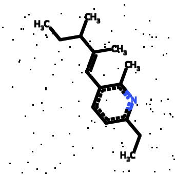 CCc1ccc(/C=C(\C)C(C)CC)c(C)n1